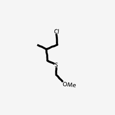 COCSCC(C)CCl